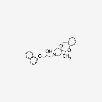 CC1Oc2ccccc2COC12CCN(CC(O)COc1cccc3ccccc13)CC2